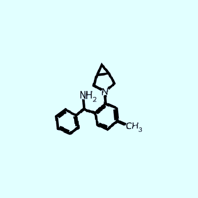 Cc1ccc(C(N)c2ccccc2)c(N2CC3CC3C2)c1